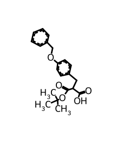 CC(C)(C)OC(=O)C(Cc1ccc(OCc2ccccc2)cc1)C(=O)O